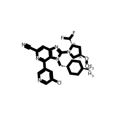 CO[C@@H]1C[C@@H](C(F)F)N(c2nc3cc(C#N)nc(-c4cncc(Cl)c4)c3n2C[C@H]2CC[C@H](C)CC2)C1